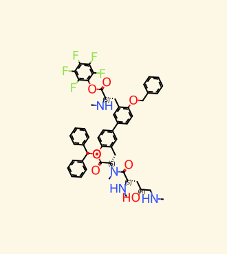 CNC[C@H](O)C[C@H](NC)C(=O)N(C)[C@@H](Cc1cc(-c2ccc(OCc3ccccc3)c(C[C@H](NC)C(=O)Oc3c(F)c(F)c(F)c(F)c3F)c2)ccc1OCc1ccccc1)C(=O)OCc1ccccc1